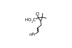 CCCC=CCC1C(C)(C)C1(Cl)C(=O)O